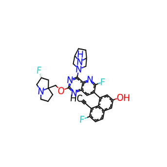 C#Cc1c(F)ccc2cc(O)cc(-c3cc4nc(OCC56CCCN5C[C@H](F)C6)nc(N5CC6CCC(C5)N6)c4nc3F)c12